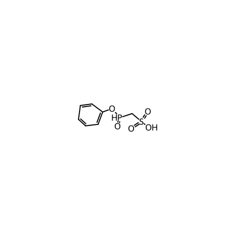 O=[PH](CS(=O)(=O)O)Oc1ccccc1